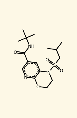 CC(C)CS(=O)(=O)N1CCOc2ncc(C(=O)NC(C)(C)C)cc21